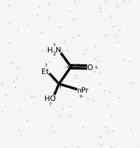 CCCC(O)(CC)C(N)=O